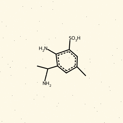 Cc1cc(C(C)N)c(N)c(S(=O)(=O)O)c1